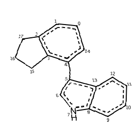 c1cc2c(c(-c3c[nH]c4ccccc34)c1)CCC2